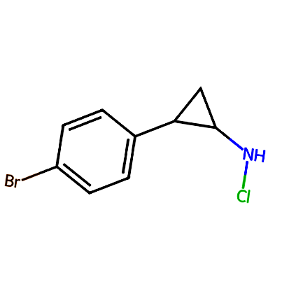 ClNC1CC1c1ccc(Br)cc1